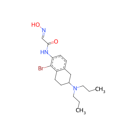 CCCN(CCC)C1CCc2c(ccc(NC(=O)C=NO)c2Br)C1